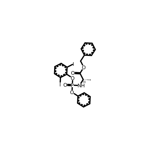 C[C@H](NP(=O)(Oc1ccccc1)Oc1c(I)cccc1I)C(=O)OCc1ccccc1